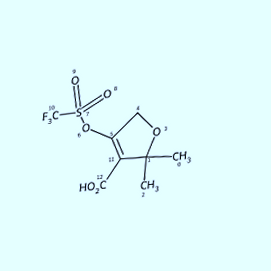 CC1(C)OCC(OS(=O)(=O)C(F)(F)F)=C1C(=O)O